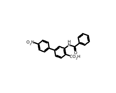 O=C(Nc1cc(-c2ccc([N+](=O)[O-])cc2)ccc1C(=O)O)c1ccccc1